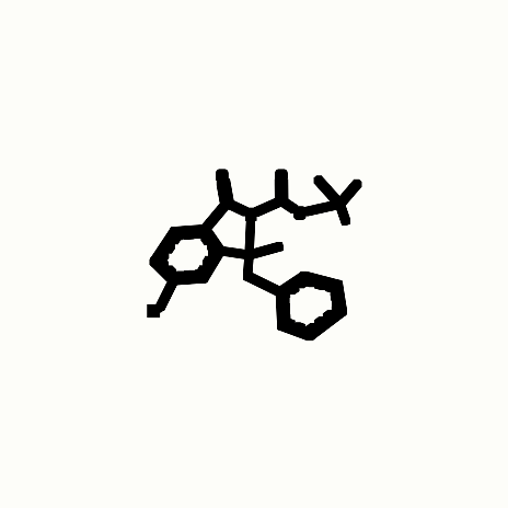 CC(C)(C)OC(=O)N1C(=O)c2ccc(Br)cc2C1(C)Cc1ccccc1